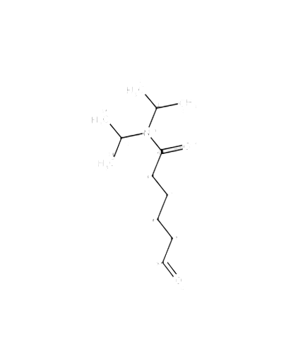 CC(C)N(C(=O)CCCCC=O)C(C)C